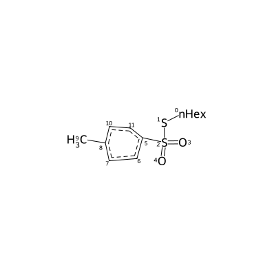 [CH2]CCCCCSS(=O)(=O)c1ccc(C)cc1